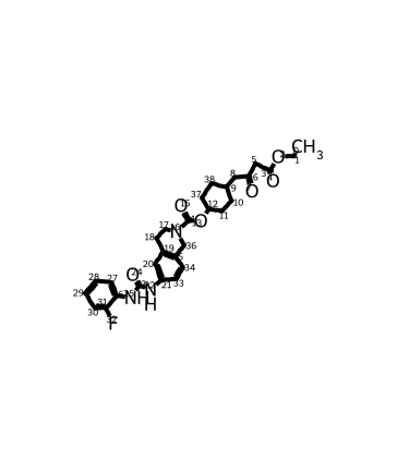 CCOC(=O)CC(=O)CC1CCC(OC(=O)N2CCc3cc(NC(=O)Nc4ccccc4F)ccc3C2)CC1